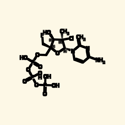 C=C1N=C(N)C=CN1[C@@H]1O[C@](CF)(COP(=O)(O)OP(=O)(O)OP(=O)(O)O)[C@@H](O)[C@@]1(C)Cl